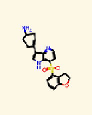 NC1CC=C(c2c[nH]c3c(S(=O)(=O)c4cccc5c4CCO5)ccnc23)CC1